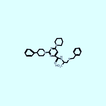 O=C(NC(CSCc1ccccc1)C(=O)O)c1cc(N2CCCCC2)nc(N2CCC(c3ccccc3)CC2)n1